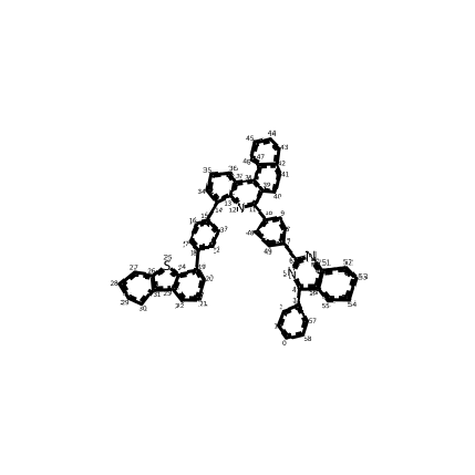 c1ccc(-c2nc(-c3ccc(-c4nc5c(-c6ccc(-c7cccc8c7sc7ccccc78)cc6)cccc5c5c4ccc4ccccc45)cc3)nc3ccccc23)cc1